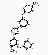 Cc1ccc(-c2nnc(-c3cccc(CN4CCN(C)CC4)c3)o2)cc1Oc1ncccn1